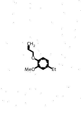 C=CCOc1ccc(CC)cc1OC